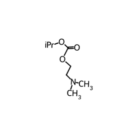 CC(C)OC(=O)OCCN(C)C